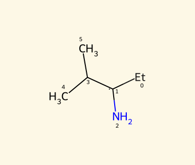 CC[C](N)C(C)C